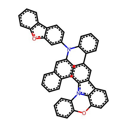 c1ccc2c(c1)Oc1cccc3c4cc(-c5ccccc5N(c5ccc6ccccc6c5)c5ccc6c(c5)oc5ccccc56)ccc4n-2c13